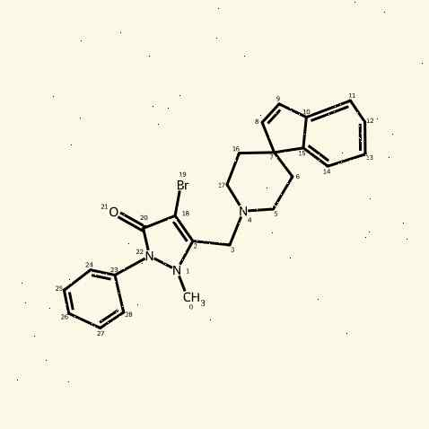 Cn1c(CN2CCC3(C=Cc4ccccc43)CC2)c(Br)c(=O)n1-c1ccccc1